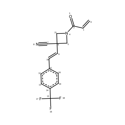 C=CC(=O)N1CC(C#N)(C=Cc2ccc(C(F)(F)F)cc2)C1